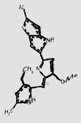 COC1=CC(c2cc3sc(C(C)=O)cc3[nH]2)=N/C1=C\c1[nH]c(C)cc1C